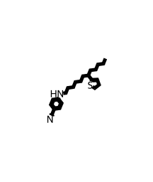 CCCCCC(CCCCCCNc1ccc(C#N)cc1)C1=CCCS1